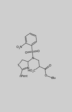 CCCCCC1=NC(N(CC(C(=O)O)C(=O)OC(C)(C)C)S(=O)(=O)c2ccccc2[N+](=O)[O-])CS1